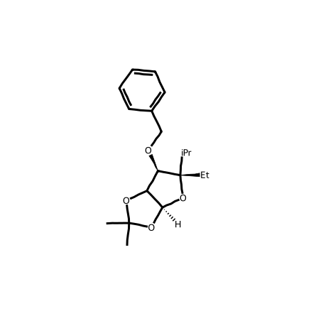 CC[C@@]1(C(C)C)O[C@H]2OC(C)(C)OC2[C@H]1OCc1ccccc1